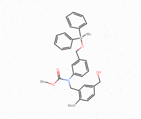 COc1ccc(CO)cc1CN(C(=O)OC(C)(C)C)c1cccc(CO[Si](c2ccccc2)(c2ccccc2)C(C)(C)C)c1